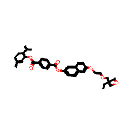 CCC1(COCCOc2ccc3cc(OC(=O)c4ccc(C(=O)OC5CC(C)CCC5C(C)C)cc4)ccc3c2)COC1